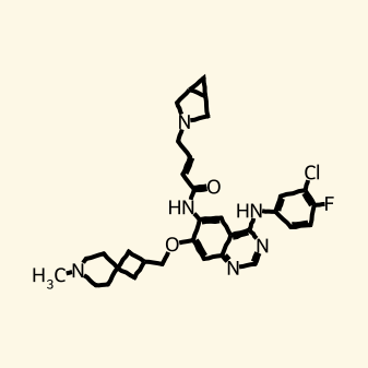 CN1CCC2(CC1)CC(COc1cc3ncnc(Nc4ccc(F)c(Cl)c4)c3cc1NC(=O)/C=C/CN1CC3CC3C1)C2